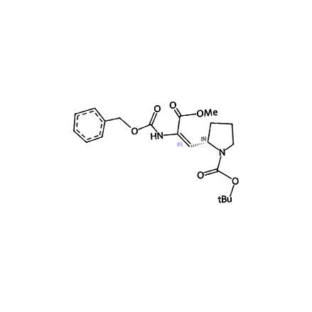 COC(=O)/C(=C\[C@@H]1CCCN1C(=O)OC(C)(C)C)NC(=O)OCc1ccccc1